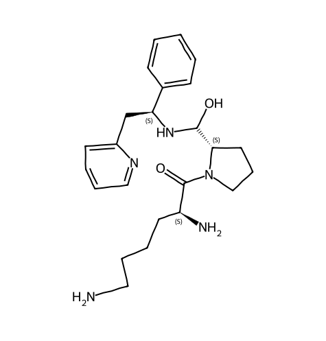 NCCCC[C@H](N)C(=O)N1CCC[C@H]1C(O)N[C@@H](Cc1ccccn1)c1ccccc1